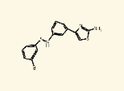 Nc1nc(-c2cccc(NSc3cccc(Br)c3)c2)cs1